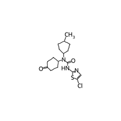 CC1CCC(N(C(=O)Nc2ncc(Cl)s2)C2CCC(=O)CC2)CC1